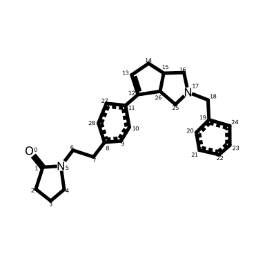 O=C1CCCN1CCc1ccc(C2=CCC3CN(Cc4ccccc4)CC23)cc1